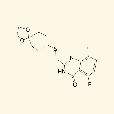 Cc1ccc(F)c2c(=O)[nH]c(CSC3CCC4(CC3)OCCO4)nc12